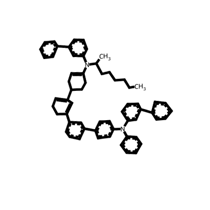 CCCCCCC(C)N(C1=CCC(C2=CCCC(c3cccc(-c4ccc(N(c5ccccc5)c5cccc(-c6ccccc6)c5)cc4)c3)=C2)CC1)c1cccc(-c2ccccc2)c1